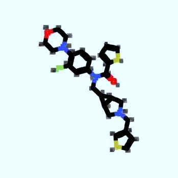 O=C(c1cccs1)N(CC1C2CN(Cc3ccsc3)CC21)c1ccc(N2CCOCC2)c(F)c1